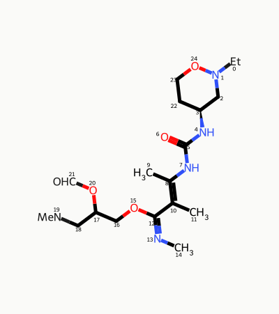 CCN1C[C@@H](NC(=O)N/C(C)=C(C)/C(=N\C)OCC(CNC)OC=O)CCO1